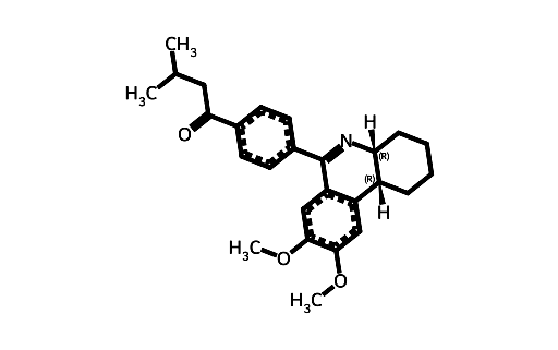 COc1cc2c(cc1OC)[C@H]1CCCC[C@H]1N=C2c1ccc(C(=O)CC(C)C)cc1